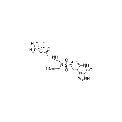 C#CCN(CCNCC(=O)OC(C)(C)C)S(=O)(=O)c1ccc2[nH]c(=O)c3[nH]ccc3c2c1